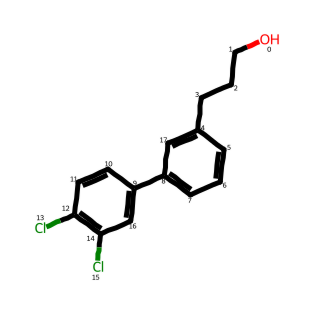 OCCCc1cccc(-c2ccc(Cl)c(Cl)c2)c1